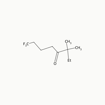 CCC(C)(C)C(=O)CCCC(F)(F)F